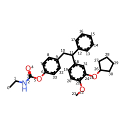 CCNC(=O)Oc1ccc(CC(c2ccccc2)c2ccc(OC)c(OC3CCCC3)c2)cc1